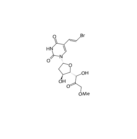 COCC(=O)C(O)[C@H]1O[C@@H](n2cc(/C=C/Br)c(=O)[nH]c2=O)C[C@@H]1O